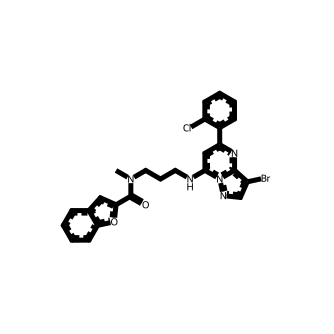 CN(CCCNc1cc(-c2ccccc2Cl)nc2c(Br)cnn12)C(=O)c1cc2ccccc2o1